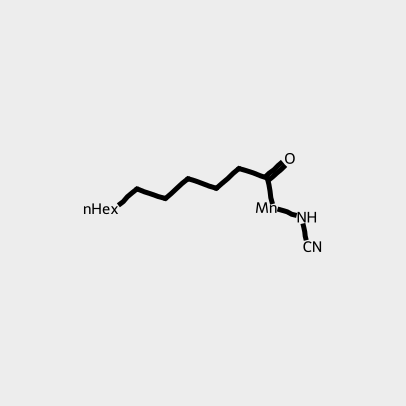 CCCCCCCCCCC[C](=O)[Mn][NH]C#N